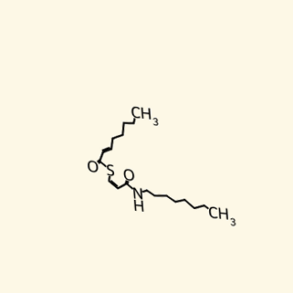 CCCCC/C=C/C(=O)S/C=C\C(=O)NCCCCCCCC